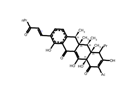 CCCC(=O)/C=C/c1ccc2c(c1O)C(=O)C1=C(O)[C@@]3(O)C(=O)C(C(C)=O)=C(O)C(C(C)C)[C@@]3(C)[C@H](C)[C@@]1(C)[C@@H]2C